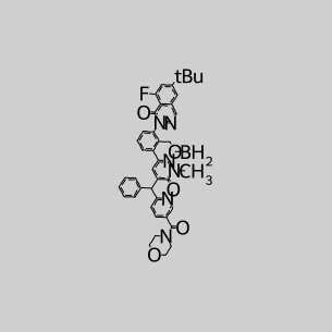 BOCc1c(-c2cc(C(c3ccccc3)c3ccc(C(=O)N4CCOCC4)cn3)c(=O)n(C)n2)cccc1-n1ncc2cc(C(C)(C)C)cc(F)c2c1=O